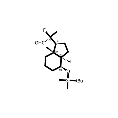 CC(C)(C)[Si](C)(C)O[C@H]1CCC[C@@]2(C)[C@H]1CC[C@@H]2[C@](C)(F)C=O